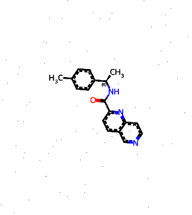 Cc1ccc([C@@H](C)NC(=O)c2ccc3cnccc3n2)cc1